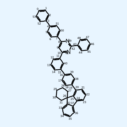 c1ccc(-c2ccc(-c3cc(-c4cccc(-c5ccc(-c6cccc7c6C6(CCCCC6)c6ccccc6-7)cc5)c4)nc(-c4ccccc4)n3)cc2)cc1